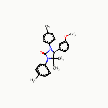 Cc1ccc(N2C(=O)N(c3ccc(C#N)cc3)[C@@H](c3cccc(OC(F)(F)F)c3)C2(C)C)cc1